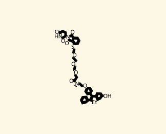 CCC(=C(c1ccc(O)cc1)c1ccc(OCCN(C)C(=O)CCOCCOCCOCCSc2cccc3c2C(=O)N(C2CCC(=O)NC2=O)C3=O)cc1)c1ccccc1